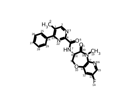 Cc1cnc(C(=O)N[C@H]2COc3cc(F)cnc3N(C)C2=O)nc1-c1ccccc1